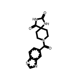 O=C1NC(=O)C2(CCN(C(=O)c3ccc4scnc4c3)CC2)N1